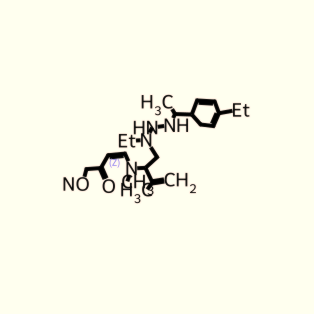 C=C(C)C(CN(CC)NNC(C)C1C=CC(CC)=CC1)N(C)/C=C\C(=O)CN=O